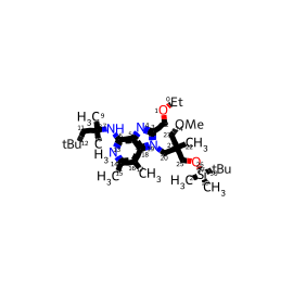 CCOCc1nc2c(NC(C)(C)CC(C)(C)C)nc(C)c(C)c2n1CC(C)(COC)CO[Si](C)(C)C(C)(C)C